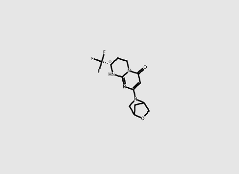 O=c1cc(N2CC3CC2CO3)nc2n1CC[C@@H](C(F)(F)F)N2